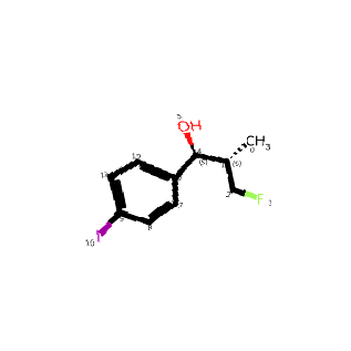 C[C@H](CF)[C@H](O)c1ccc(I)cc1